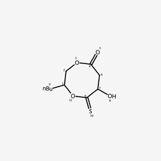 CCCCC1COC(=O)CC(O)C(=S)O1